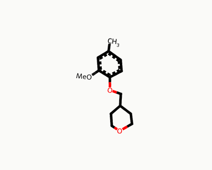 COc1cc(C)ccc1OCC1CCOCC1